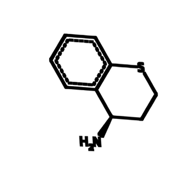 N[C@@H]1CCSc2ccccc21